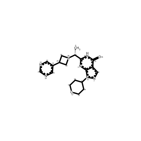 C[C@H](c1nc2c(cnn2C2CCOCC2)c(=O)[nH]1)N1CC(c2cncnc2)C1